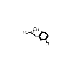 OB(O)Cc1cccc(Cl)c1